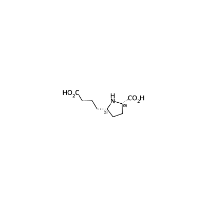 O=C(O)CCC[C@H]1CC[C@@H](C(=O)O)N1